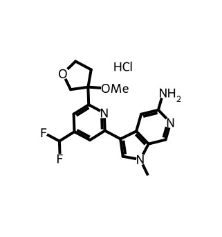 COC1(c2cc(C(F)F)cc(-c3cn(C)c4cnc(N)cc34)n2)CCOC1.Cl